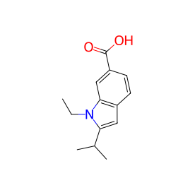 CCn1c(C(C)C)cc2ccc(C(=O)O)cc21